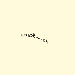 CCCCCCCCCCOC(=O)c1ccc(OC(=O)c2ccc(O)cc2)cc1